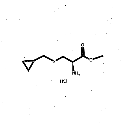 COC(=O)[C@@H](N)CSCC1CC1.Cl